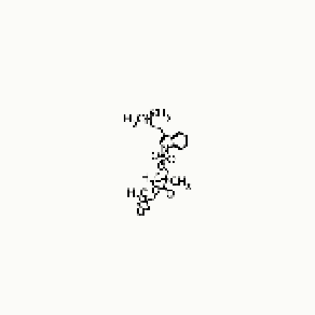 CN(C)CCc1cn(S(=O)(=O)OCC(C)(C)C(=O)OCC2(C)COC2)c2ccccc12